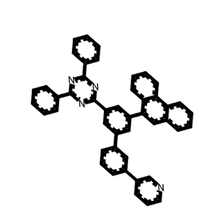 c1ccc(-c2nc(-c3ccccc3)nc(-c3cc(-c4cccc(-c5cccnc5)c4)cc(-c4cc5ccccc5c5ccccc45)c3)n2)cc1